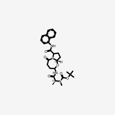 C[C@@H](C(=O)NC1CCC(=O)N2C(C(=O)Nc3cccc4ccccc34)CC[C@@H]2O1)N(C)C(=O)OC(C)(C)C